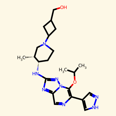 CC(C)Oc1c(-c2cn[nH]c2)ncc2nc(N[C@H]3CCN(C4CC(CO)C4)C[C@H]3C)nn12